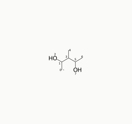 [CH2]C(O)C(C)C(C)O